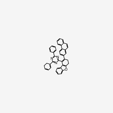 C1=CCCC(c2nc(C3=C(c4ccc5c(ccc6ccccc65)c4)CCc4oc5ccccc5c43)nc(-c3ccccc3)n2)=C1